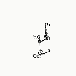 CCCCCCCCC(CCCCCCCF)OC(=O)CCCCCCCN(CCO)CCCCCC(=O)OCCCCCCCCC(C)C